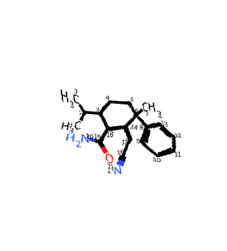 CC(C)C1CCC(C)(c2ccccc2)C(CC#N)C1C(N)=O